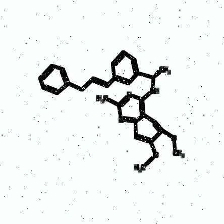 COc1cc2nc(C)nc(N[C@H](C)c3cccc(/C=C/Cc4ccccc4)c3)c2cc1OC